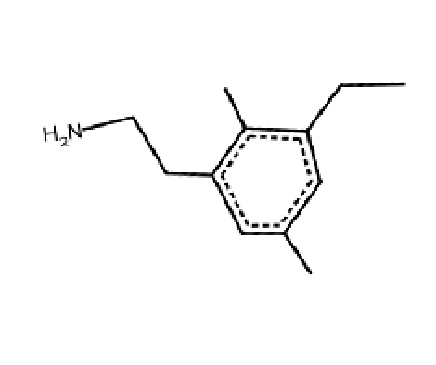 CCc1cc(C)cc(CCN)c1C